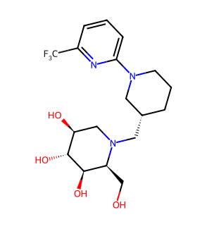 OC[C@H]1[C@@H](O)[C@H](O)[C@@H](O)CN1C[C@H]1CCCN(c2cccc(C(F)(F)F)n2)C1